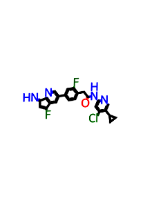 N=C1C=C(F)c2cc(-c3ccc(CC(=O)Nc4cc(Cl)c(C5CC5)cn4)c(F)c3)cnc21